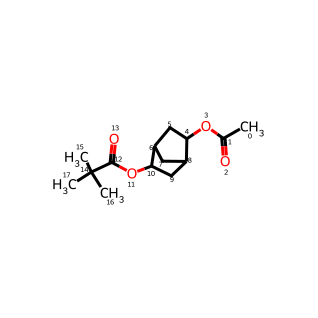 CC(=O)OC1CC2CC1CC2OC(=O)C(C)(C)C